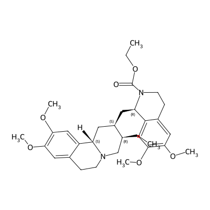 CCOC(=O)N1CCc2cc(OC)c(OC)cc2[C@H]1C[C@@H]1C[C@H]2c3cc(OC)c(OC)cc3CCN2C[C@@H]1CC